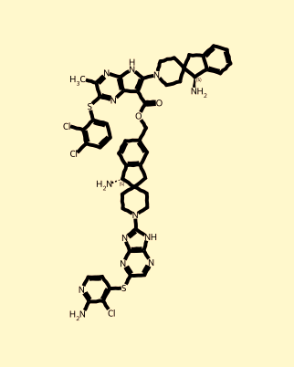 Cc1nc2[nH]c(N3CCC4(CC3)Cc3ccccc3[C@H]4N)c(C(=O)OCc3ccc4c(c3)CC3(CCN(c5nc6nc(Sc7ccnc(N)c7Cl)cnc6[nH]5)CC3)[C@@H]4N)c2nc1Sc1cccc(Cl)c1Cl